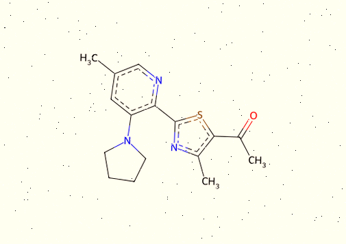 CC(=O)c1sc(-c2ncc(C)cc2N2CCCC2)nc1C